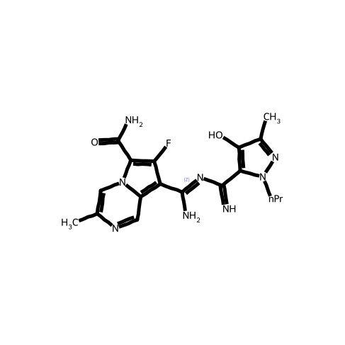 CCCn1nc(C)c(O)c1C(=N)/N=C(\N)c1c(F)c(C(N)=O)n2cc(C)ncc12